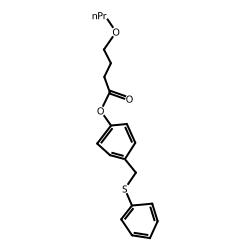 CCCOCCCC(=O)Oc1ccc(CSc2ccccc2)cc1